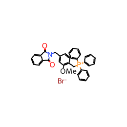 COc1cc(CN2C(=O)c3ccccc3C2=O)ccc1C[P+](c1ccccc1)(c1ccccc1)c1ccccc1.[Br-]